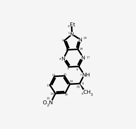 CCn1cc2ncc(N[C@@H](C)c3cccc([N+](=O)[O-])c3)nc2n1